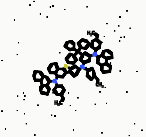 C=Cc1ccc(N(c2cc(N(c3ccc(C=C)cc3)c3cc4ccccc4c4ccccc34)cc([Si](c3ccccc3)(c3ccccc3)c3ccccc3)c2)c2ccc3c(c2)sc2c4ccccc4c(N(c4ccc(C=C)cc4)c4cc5ccccc5c5ccccc45)cc32)cc1